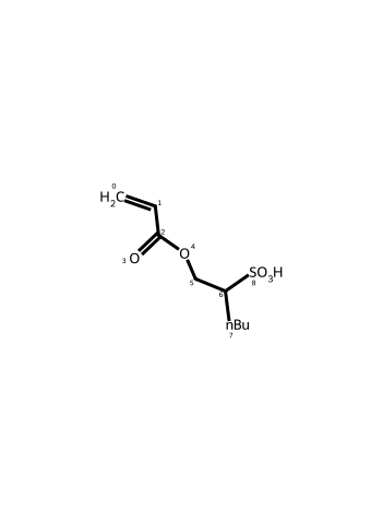 C=CC(=O)OCC(CCCC)S(=O)(=O)O